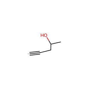 [C]#CCC(C)O